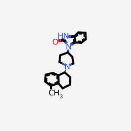 Cc1cccc2c1CCC[C@H]2N1CCC(n2c(=O)[nH]c3ccccc32)CC1